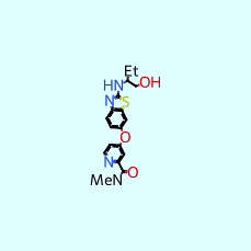 CCC(CO)Nc1nc2ccc(Oc3ccnc(C(=O)NC)c3)cc2s1